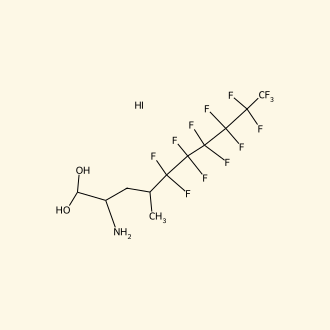 CC(CC(N)C(O)O)C(F)(F)C(F)(F)C(F)(F)C(F)(F)C(F)(F)C(F)(F)F.I